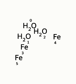 O.O.O.[Fe].[Fe].[Fe]